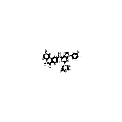 CC1CN(c2nc(Nc3ccc(C(=O)N(C)C4CCN(C)CC4)cc3)c3ncn(-c4cccc(F)c4)c3n2)CCO1